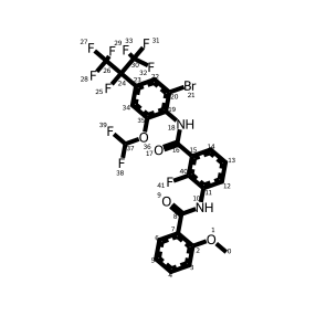 COc1ccccc1C(=O)Nc1cccc(C(=O)Nc2c(Br)cc(C(F)(C(F)(F)F)C(F)(F)F)cc2OC(F)F)c1F